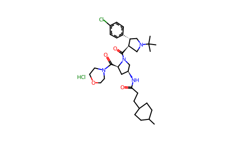 CC1CCC(CCC(=O)N[C@H]2C[C@@H](C(=O)N3CCOCC3)N(C(=O)[C@@H]3CN(C(C)(C)C)C[C@H]3c3ccc(Cl)cc3)C2)CC1.Cl